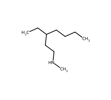 [CH2]CC(CCCC)CCNC